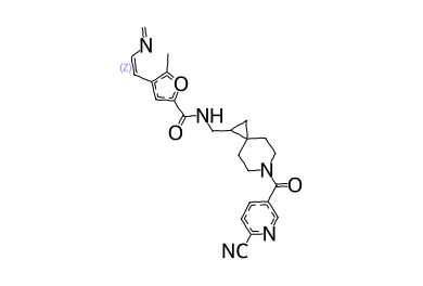 C=N/C=C\c1cc(C(=O)NCC2CC23CCN(C(=O)c2ccc(C#N)nc2)CC3)oc1C